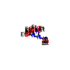 CCO[Si](CCCN(CCCN(CCCN1CCC[Si]1(OCC)OCC)CCCN1CCC[Si]1(OCC)OCC)CCC[Si](OCC)(OCC)OCC)(OCC)OCC